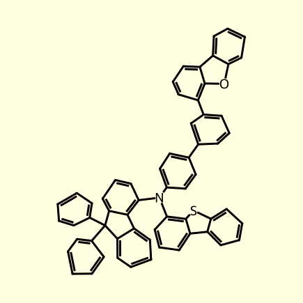 c1ccc(C2(c3ccccc3)c3ccccc3-c3c(N(c4ccc(-c5cccc(-c6cccc7c6oc6ccccc67)c5)cc4)c4cccc5c4sc4ccccc45)cccc32)cc1